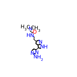 CN(C)CC(=O)NCCc1cnc2[nH]cc(-c3ccnc(N)n3)c2c1